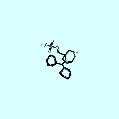 CS(=O)(=O)OCC12CCC(CNC1)N2C(c1ccccc1)c1ccccc1